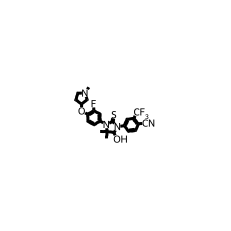 CN1CCC(Oc2ccc(N3C(=S)N(c4ccc(C#N)c(C(F)(F)F)c4)C(O)C3(C)C)cc2F)C1